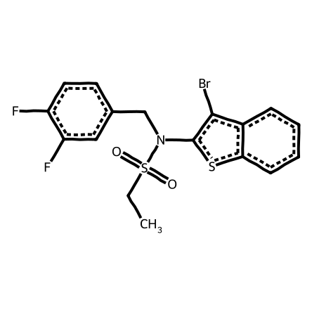 CCS(=O)(=O)N(Cc1ccc(F)c(F)c1)c1sc2ccccc2c1Br